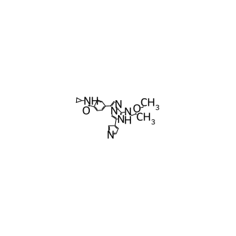 CCOC(C)CNc1nc(-c2ccncc2)cn2c(-c3ccc(C(=O)NC4CC4)cc3)cnc12